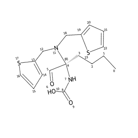 CCCC[C@@](C=O)(NC(=O)O)N(Cc1cccs1)Cc1cccs1